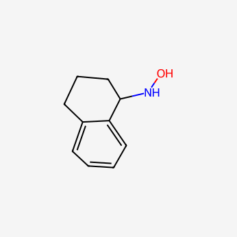 ONC1CCCc2ccccc21